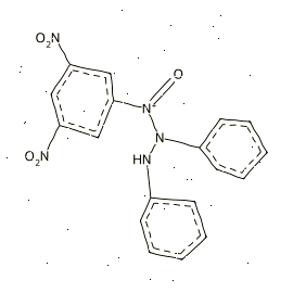 O=[N+]([O-])c1[c]c([N+](=O)N(Nc2ccccc2)c2ccccc2)cc([N+](=O)[O-])c1